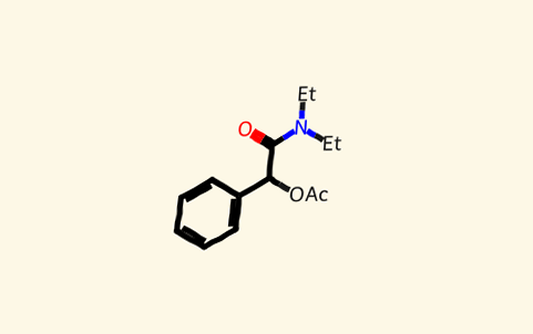 CCN(CC)C(=O)C(OC(C)=O)c1ccccc1